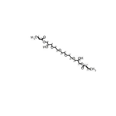 CC=CC(=O)OCC(O)COCCOCCOCCOCC(O)COC(=O)C=CC